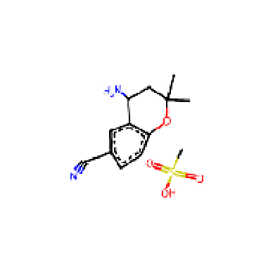 CC1(C)CC(N)c2cc(C#N)ccc2O1.CS(=O)(=O)O